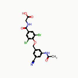 CC(=O)Nc1cc(C#N)cc(COc2c(Br)cc(C(=O)NCC(=O)O)cc2Br)c1